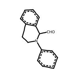 O=CC1c2ccccc2CCN1c1ccccc1